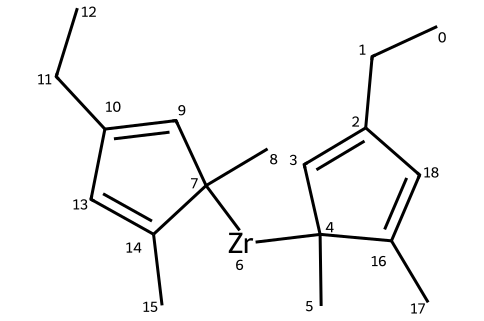 CCC1=C[C](C)([Zr][C]2(C)C=C(CC)C=C2C)C(C)=C1